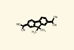 CC1(C)c2cc(=C(C#N)C#N)ccc2=c2ccc(=C(C#N)C#N)cc21